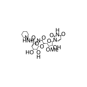 COC1C(O)C(n2ccc(=O)[nH]c2=O)O[C@@H]1C(O[C@H]1OC(C(=O)NN2CCCCC2)=CC(O)C1O)C(N)=O